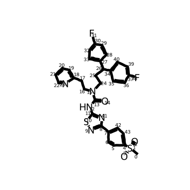 CS(=O)(=O)c1ccc(-c2nsc(NC(=O)N(CCc3ccccn3)CCC(c3ccc(F)cc3)c3ccc(F)cc3)n2)cc1